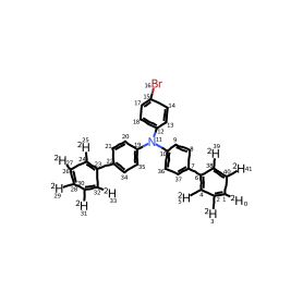 [2H]c1c([2H])c([2H])c(-c2ccc(N(c3ccc(Br)cc3)c3ccc(-c4c([2H])c([2H])c([2H])c([2H])c4[2H])cc3)cc2)c([2H])c1[2H]